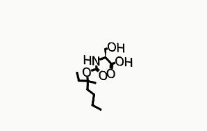 CCCCC(C)(CC)OC(=O)N[C@@H](CO)C(=O)O